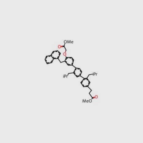 COC(=O)CCc1ccc(-c2ccc(-c3ccc(OCC(=O)OC)c(Cc4cccc5ccccc45)c3)c(CC(C)C)c2)c(CC(C)C)c1